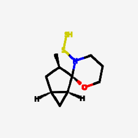 C[C@@H]1C[C@@H]2C[C@@H]2[C@@]12OCCCN2SS